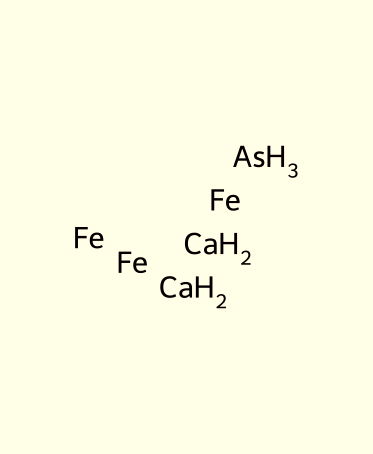 [AsH3].[CaH2].[CaH2].[Fe].[Fe].[Fe]